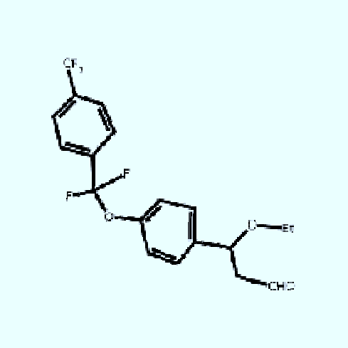 CCOC(CC=O)c1ccc(OC(F)(F)c2ccc(C(F)(F)F)cc2)cc1